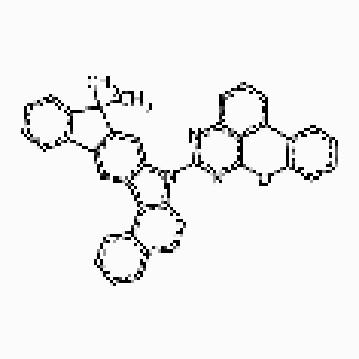 CC1(C)c2ccccc2-c2cc3c4c5ccccc5ccc4n(-c4nc5c6c(cccc6n4)-c4ccccc4O5)c3cc21